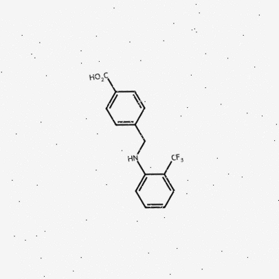 O=C(O)c1ccc(CNc2ccccc2C(F)(F)F)cc1